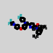 CC1CC2CC(C)C(NC(=O)c3ccc(-c4cn(C5CCC(F)(F)CC5)c5cc(OC6CCC(N7CC(F)(F)C7)CC6)ccc45)nc3C(F)(F)F)(C(=O)O)C(C1)C2